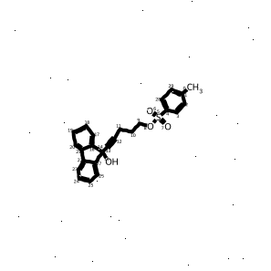 Cc1ccc(S(=O)(=O)OCCCC#CC2(O)c3ccccc3-c3ccccc32)cc1